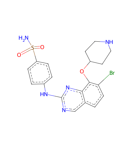 NS(=O)(=O)c1ccc(Nc2ncc3ccc(Br)c(OC4CCNCC4)c3n2)cc1